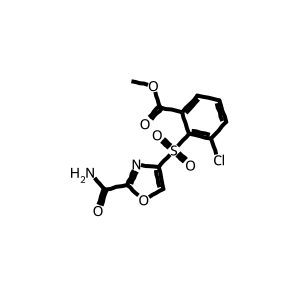 COC(=O)c1cccc(Cl)c1S(=O)(=O)c1coc(C(N)=O)n1